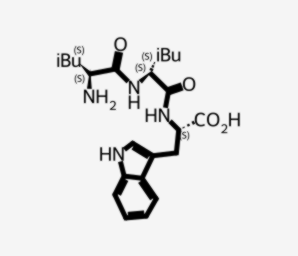 CC[C@H](C)[C@H](N)C(=O)N[C@H](C(=O)N[C@@H](Cc1c[nH]c2ccccc12)C(=O)O)[C@@H](C)CC